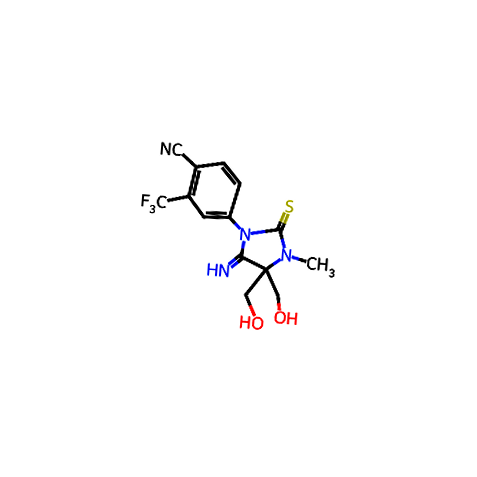 CN1C(=S)N(c2ccc(C#N)c(C(F)(F)F)c2)C(=N)C1(CO)CO